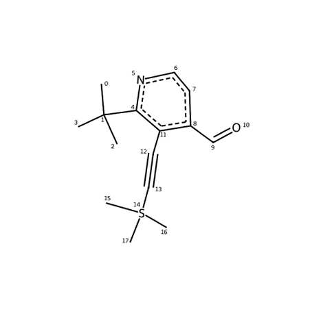 CC(C)(C)c1nccc(C=O)c1C#CS(C)(C)C